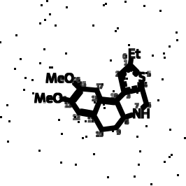 CCc1cc2c(s1)CNC1CCC3=CC(OC)=C(OC)CC3=C21